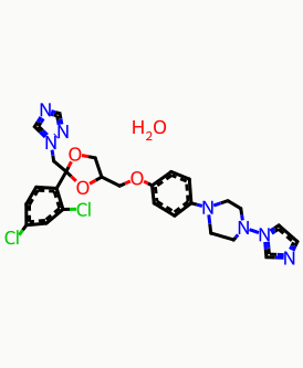 Clc1ccc(C2(Cn3cncn3)OCC(COc3ccc(N4CCN(n5ccnc5)CC4)cc3)O2)c(Cl)c1.O